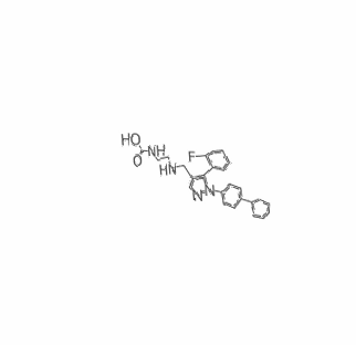 O=C(O)NCCNCc1cnn(-c2ccc(-c3ccccc3)cc2)c1-c1ccccc1F